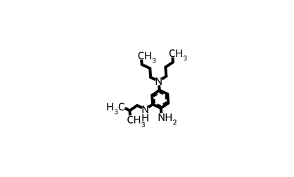 CCCCN(CCCC)c1ccc(N)c(NCC(C)C)c1